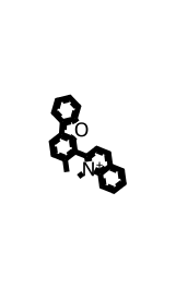 Cc1ccc2c(oc3ccccc32)c1-c1ccc2ccccc2[n+]1C